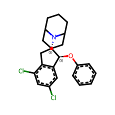 Clc1cc(Cl)c2c(c1)[C@H](Oc1ccccc1)[C@@H](N1C3CCCC1CCC3)C2